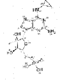 C[C@@]1(O)[C@H](O)[C@@H](COP(=O)(O)O)O[C@H]1n1cnc2c(NC3CC3)nc(N)nc21